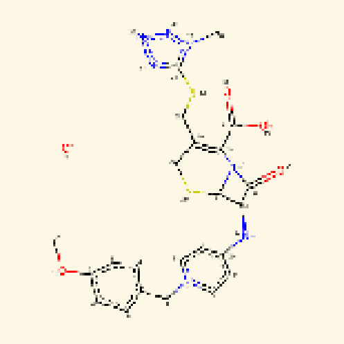 COc1ccc(C[n+]2ccc(N[C@@H]3C(=O)N4C(C(=O)O)=C(CSc5nnnn5C)CSC34)cc2)cc1.[OH-]